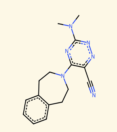 CN(C)c1nnc(C#N)c(N2CCc3ccccc3CC2)n1